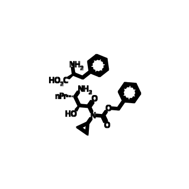 CCC[C@H](N)[C@H](O)C(=O)N(C(=O)OCc1ccccc1)C1CC1.N[C@@H](Cc1ccccc1)C(=O)O